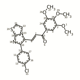 COc1cc(C(=O)/C=C/c2c(-c3ccc(Cl)cc3)nc3sccn23)cc(OC)c1OC